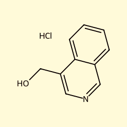 Cl.OCc1cncc2ccccc12